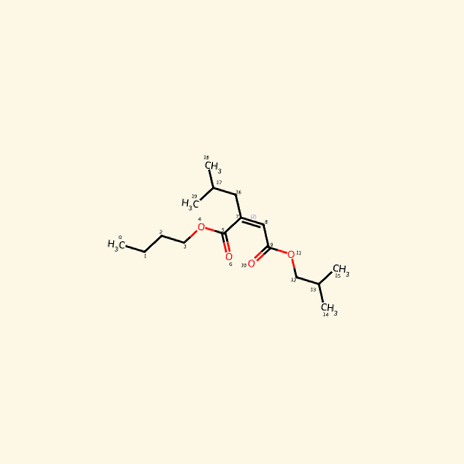 CCCCOC(=O)/C(=C\C(=O)OCC(C)C)CC(C)C